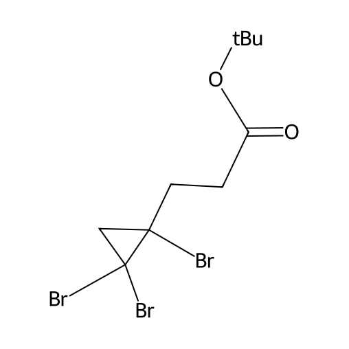 CC(C)(C)OC(=O)CCC1(Br)CC1(Br)Br